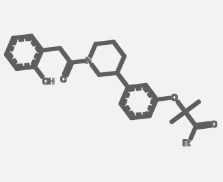 CCC(=O)C(C)(C)Oc1cccc(C2CCCN(C(=O)Cc3ccccc3O)C2)c1